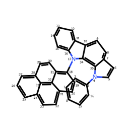 c1ccc(-n2ccc3ccc4c5ccccc5n(-c5ccc6ccc7cccc8ccc5c6c78)c4c32)cc1